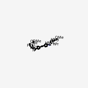 C/C=C(\NC(C)CN(CCC)C(=O)CNC(=O)OC)c1ccc(C#Cc2ccc(-c3cnc(CN(CC(C)(F)F)C(=O)CNC(=O)OC)[nH]3)cc2)cc1